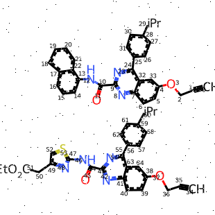 C#CCOc1ccc2nc(C(=O)Nc3cccc4ccccc34)nc(-c3ccc(C(C)C)cc3)c2c1.C#CCOc1ccc2nc(C(=O)Nc3nc(CC(=O)OCC)cs3)nc(-c3ccc(C(C)C)cc3)c2c1